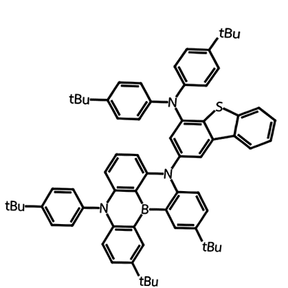 CC(C)(C)c1ccc(N2c3ccc(C(C)(C)C)cc3B3c4cc(C(C)(C)C)ccc4N(c4cc(N(c5ccc(C(C)(C)C)cc5)c5ccc(C(C)(C)C)cc5)c5sc6ccccc6c5c4)c4cccc2c43)cc1